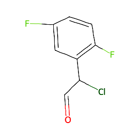 O=CC(Cl)c1cc(F)ccc1F